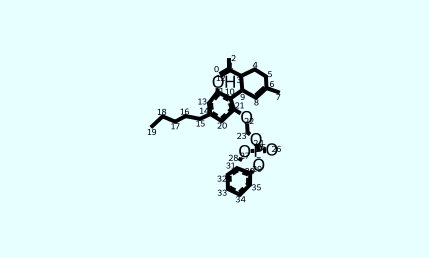 C=C(C)C1CCC(C)=CC1c1c(O)cc(CCCCC)cc1OCOP(=O)(OC)Oc1ccccc1